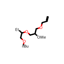 C=CCOCC(COC(CC)COCCCC)OC